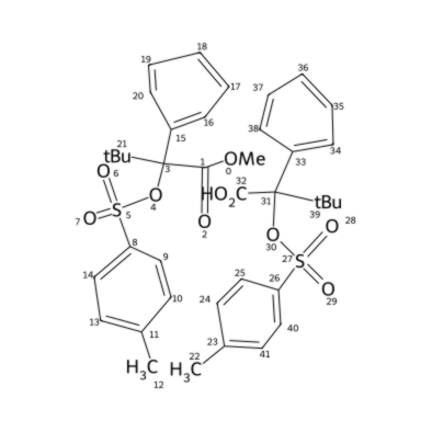 COC(=O)C(OS(=O)(=O)c1ccc(C)cc1)(c1ccccc1)C(C)(C)C.Cc1ccc(S(=O)(=O)OC(C(=O)O)(c2ccccc2)C(C)(C)C)cc1